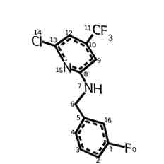 Fc1cccc(CNc2cc(C(F)(F)F)cc(Cl)n2)c1